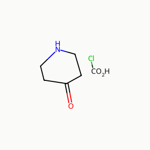 O=C(O)Cl.O=C1CCNCC1